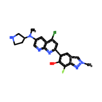 CN(c1cnc2nc(-c3cc4cn(C)nc4c(F)c3O)cc(Cl)c2c1)C1CCNC1